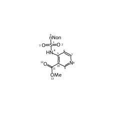 CCCCCCCCCS(=O)(=O)Nc1ccncc1C(=O)OC